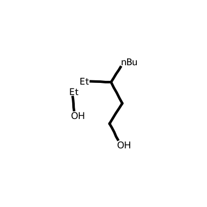 CCCCC(CC)CCO.CCO